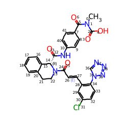 CN(C(=O)O)C(=O)c1ccc(NC(=O)[C@H]2c3ccccc3CCN2C(=O)/C=C/c2cc(Cl)ccc2-n2cnnn2)cc1